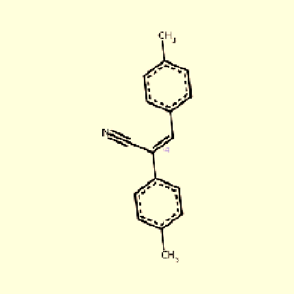 Cc1ccc(/C=C(\C#N)c2ccc(C)cc2)cc1